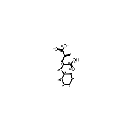 C=C(CC(OC1CCCCO1)C(=O)O)C(=O)O